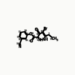 CCc1[nH]nc(C(=O)Oc2cccc(C#N)c2)c(=O)c1Br